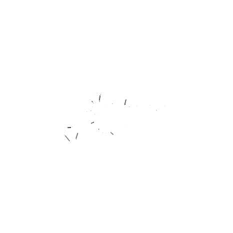 CC(C)(C)OC(=O)NC(C)(C)C(=O)NC(CCCc1ccccc1)c1nocc1CCOC(=O)NCCCCO